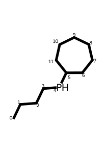 CCCCPC1CCCCCC1